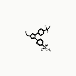 CS(=O)(=O)c1ccc(C2=CC(CF)C=C2c2ccc(C(F)(F)F)cc2)cc1